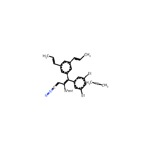 CC=Cc1cc(C=CC)cc(C(=C(C=C=[N+]=[N-])CCCCC)c2cc(CC)cc(CC)c2)c1.[CH3][Ni][CH3]